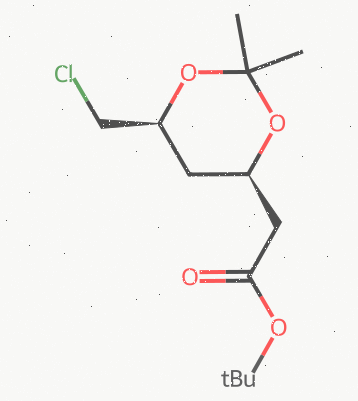 CC(C)(C)OC(=O)C[C@H]1C[C@@H](CCl)OC(C)(C)O1